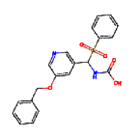 O=C(O)NC(c1cncc(OCc2ccccc2)c1)S(=O)(=O)c1ccccc1